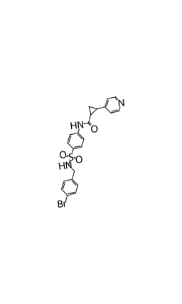 O=C(Nc1ccc(S(=O)(=O)NCc2ccc(Br)cc2)cc1)C1CC1c1ccncc1